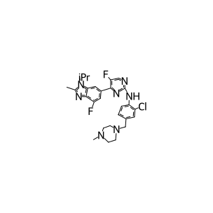 Cc1nc2c(F)cc(-c3nc(Nc4ccc(CN5CCN(C)CC5)cc4Cl)ncc3F)cc2n1C(C)C